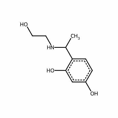 CC(NCCO)c1ccc(O)cc1O